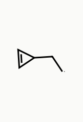 [CH2]CC1C=C1